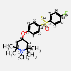 CN1C(C)(C)CC(Oc2ccc(S(=O)(=S)c3ccc(F)cc3)cc2)CC1(C)C